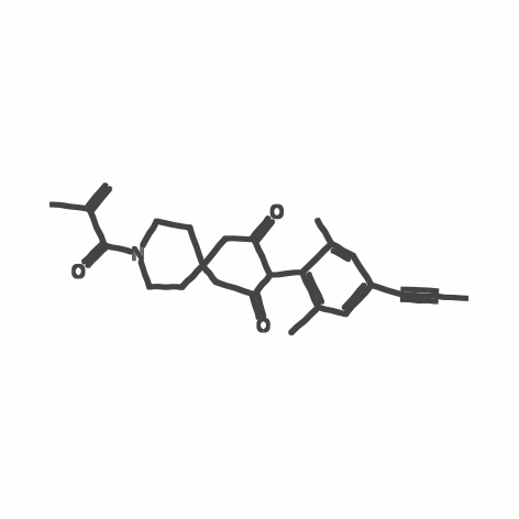 C=C(C)C(=O)N1CCC2(CC1)CC(=O)C(c1c(C)cc(C#CC)cc1C)C(=O)C2